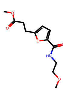 COCCNC(=O)c1ccc(CCC(=O)OC)o1